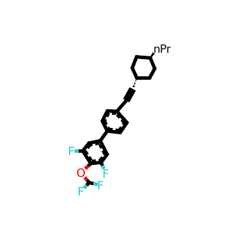 CCC[C@H]1CC[C@H](C#Cc2ccc(-c3cc(F)c(OC(F)F)c(F)c3)cc2)CC1